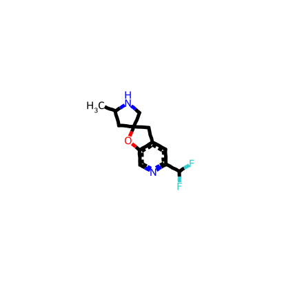 CC1CC2(CN1)Cc1cc(C(F)F)ncc1O2